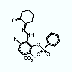 O=C1CCCCC1=NNc1c(F)ccc(C(=O)O)c1OS(=O)(=O)c1ccccc1